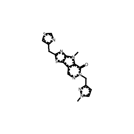 Cn1ccc(Cn2ncc3c4sc(Cc5cscn5)nc4n(C)c3c2=O)n1